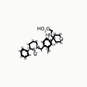 O=C(O)CNC1(c2ccc(CN3CCC[C@H](c4ccccc4)[S+]3[O-])c(F)c2)CCOCC1